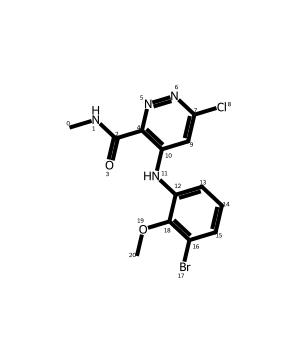 CNC(=O)c1nnc(Cl)cc1Nc1cccc(Br)c1OC